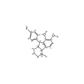 COc1ccc2c(c1OC)C(c1ccc(F)cc1)C1CCCN(C)C21